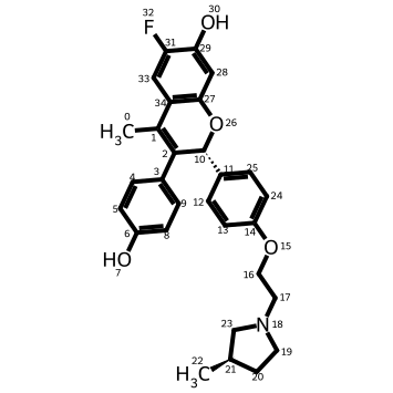 CC1=C(c2ccc(O)cc2)[C@@H](c2ccc(OCCN3CC[C@@H](C)C3)cc2)Oc2cc(O)c(F)cc21